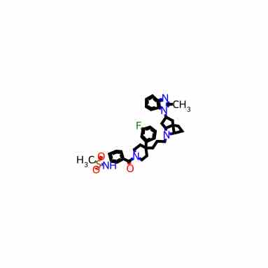 Cc1nc2ccccc2n1C1CC2N(CCCC3(c4cccc(F)c4)CCN(C(=O)c4cccc(NS(C)(=O)=O)c4)CC3)C3CCC32C1